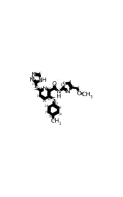 COCc1csc(NC(=O)c2nc(Sc3nnc[nH]3)ccc2Sc2ccc(C)cc2)n1